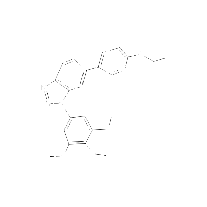 CCOc1ccc(-c2ccc3nnn(-c4cc(OC)c(OC)c(OC)c4)c3c2)cc1